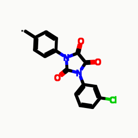 [CH2]c1ccc(N2C(=O)C(=O)N(c3cccc(Cl)c3)C2=O)cc1